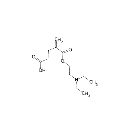 C=C(CCC(=O)O)C(=O)OCCN(CC)CC